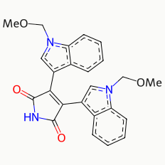 COCn1cc(C2=C(c3cn(COC)c4ccccc34)C(=O)NC2=O)c2ccccc21